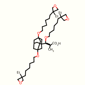 CCC1(CCCCCCOC(=C(C)C(=O)O)C23CC4CC(OCCCCCCC5(CC)COC5)(CC(OCCCCCCC5(CC)COC5)(C4)C2)C3)COC1